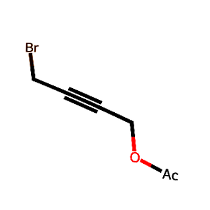 CC(=O)OCC#CCBr